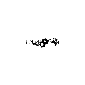 Cc1ncoc1COc1ccc2c(c1)CCN(C[C@H](O)CN)C2